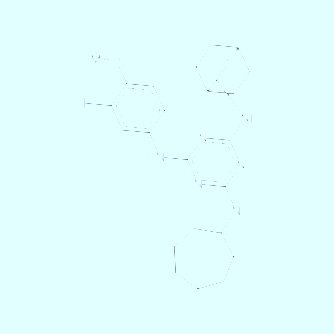 COc1ccc(Nc2nc(NC3CCCCCC3)nc(NC3CC4CCC3CC4)n2)cc1Cl